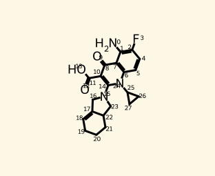 Nc1c(F)ccc2c1c(=O)c(C(=O)O)c(N1CC3=CCCCC3C1)n2C1CC1